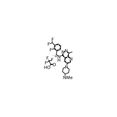 CNC1CCN(c2cnc3c(C)nnc(N[C@H](C)c4cccc(C(F)F)c4F)c3c2)CC1.O=C(O)C(F)(F)F